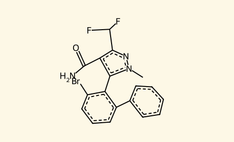 Cn1nc(C(F)F)c(C(N)=O)c1-c1c(Br)cccc1-c1ccccc1